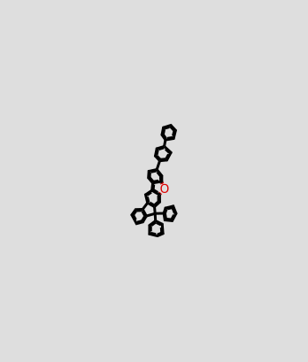 c1ccc(-c2ccc(-c3ccc4c(c3)oc3cc5c(cc34)-c3ccccc3C5(c3ccccc3)c3ccccc3)cc2)cc1